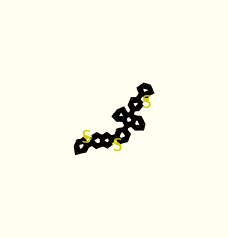 c1ccc2c(c1)sc1cc(-c3c4ccccc4c(-c4ccc5sc6cc7cc8c(cc7cc6c5c4)sc4ccccc48)c4ccccc34)ccc12